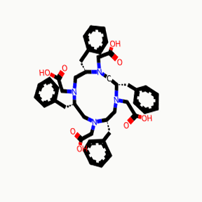 O=C(O)CN1C[C@H](Cc2ccccc2)N(CC(=O)O)C[C@H](Cc2ccccc2)N(CC(=O)O)C[C@H](Cc2ccccc2)N(CC(=O)O)C[C@@H]1Cc1ccccc1